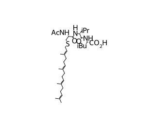 CC[C@H](C)[C@H](NC(=O)[C@@H](NC(=O)[C@H](CSC/C=C(\C)CC/C=C(\C)CC/C=C(\C)CCC=C(C)C)NC(C)=O)C(C)C)C(=O)O